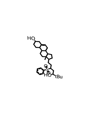 CC(C)(C)C(O)CC(CCC1CCC2C3CC=C4CC(O)CCC4C3CCC12C)S(=O)(=O)c1ccccc1